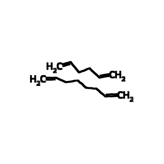 C=CCCC=C.C=CCCCCC=C